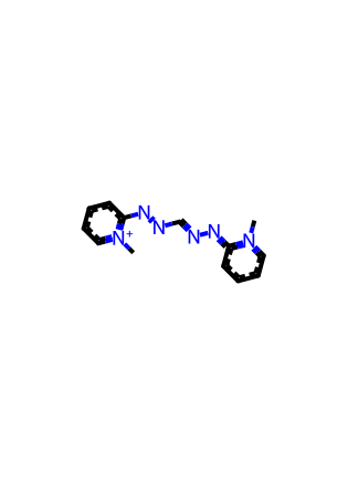 Cn1cccc\c1=N/N=C/N=N/c1cccc[n+]1C